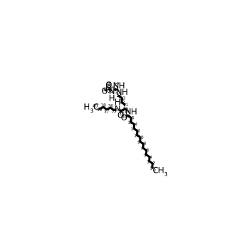 CCCCCCCCCCCCCCCCCC(=O)N[C@@H](CCCCNC(=N)N[N+](=O)[O-])C(=O)NCCCCCC